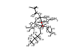 C=C(C)C(=O)OC(O[SiH](O[Si](C)(C)C)O[Si](C)(C)C)([SiH2]O[SiH3])C(C)(C)C(CCC(F)(F)C(F)(F)C(F)(F)F)[SiH2]O[Si](C)(C)C